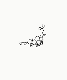 COCO[C@@H]1CC[C@]2(C)C3CCC4(C)C([C@H](C)CCC(=O)OC)C[C@@H]5OCO[C@H](C[C@@H]2C1)C3C54